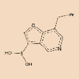 CC(C)Cc1cncc2c(B(O)O)coc12